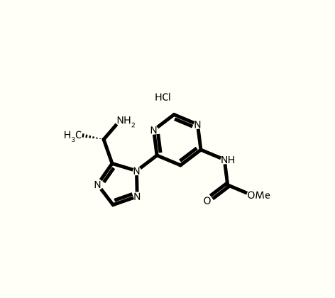 COC(=O)Nc1cc(-n2ncnc2[C@H](C)N)ncn1.Cl